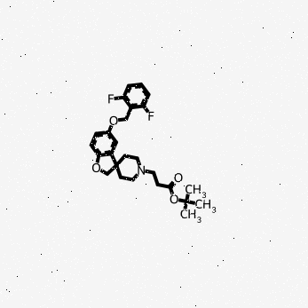 CC(C)(C)OC(=O)CCN1CCC2(CC1)COc1ccc(OCc3c(F)cccc3F)cc12